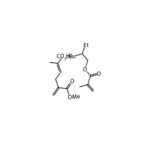 C=C(C)C(=O)OCC(CC)CCCC.C=C(CC=C(C)C(=O)O)C(=O)OC